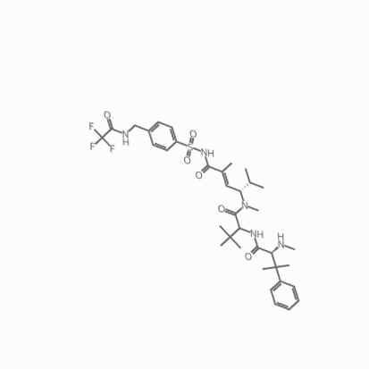 CN[C@H](C(=O)NC(C(=O)N(C)[C@H](/C=C(\C)C(=O)NS(=O)(=O)c1ccc(CNC(=O)C(F)(F)F)cc1)C(C)C)C(C)(C)C)C(C)(C)c1ccccc1